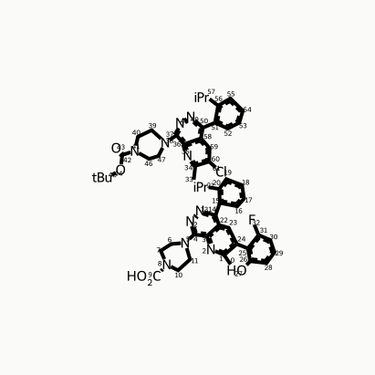 Cc1nc2c(N3CCN(C(=O)O)CC3)nnc(-c3ccccc3C(C)C)c2cc1-c1c(O)cccc1F.Cc1nc2c(N3CCN(C(=O)OC(C)(C)C)CC3)nnc(-c3ccccc3C(C)C)c2cc1Cl